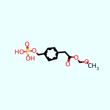 COCOC(=O)Cc1ccc(COP(=O)(O)O)cc1